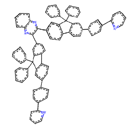 c1ccc(C2(c3ccccc3)c3cc(-c4ccc(-c5ccccn5)cc4)ccc3-c3ccc(-c4nc5ccccc5nc4-c4ccc5c(c4)C(c4ccccc4)(c4ccccc4)c4cc(-c6ccc(-c7ccccn7)cc6)ccc4-5)cc32)cc1